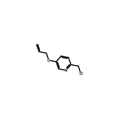 C=CCOc1ccc(CCl)nc1